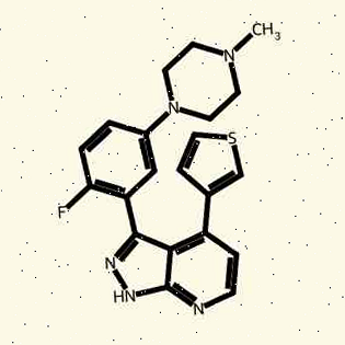 CN1CCN(c2ccc(F)c(-c3n[nH]c4nccc(-c5ccsc5)c34)c2)CC1